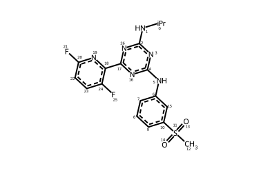 CC(C)Nc1nc(Nc2cccc(S(C)(=O)=O)c2)nc(-c2nc(F)ccc2F)n1